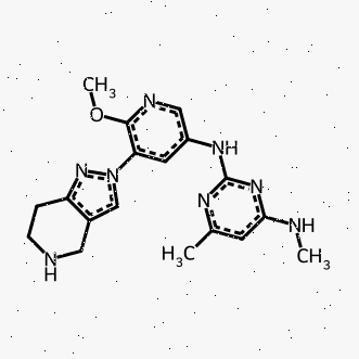 CNc1cc(C)nc(Nc2cnc(OC)c(-n3cc4c(n3)CCNC4)c2)n1